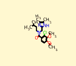 COc1ccc(C(=O)N(CCC(C)C)Cc2nc(C)c(C)[nH]2)c(Cl)c1OC